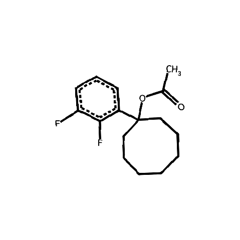 CC(=O)OC1(c2cccc(F)c2F)CCCCCCC1